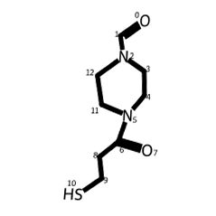 O=CN1CCN(C(=O)CCS)CC1